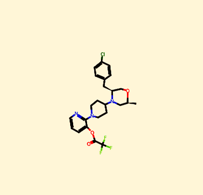 C[C@H]1CN(C2CCN(c3ncccc3OC(=O)C(F)(F)F)CC2)[C@@H](Cc2ccc(Cl)cc2)CO1